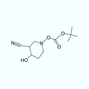 CC(C)(C)OC(=O)ON1CCC(O)C(C#N)C1